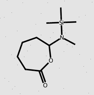 CN(C1CCCCC(=O)O1)[Si](C)(C)C